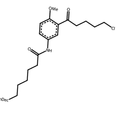 CCCCCCCCCCCCCCCC(=O)Nc1ccc(OC)c(C(=O)CCCCCl)c1